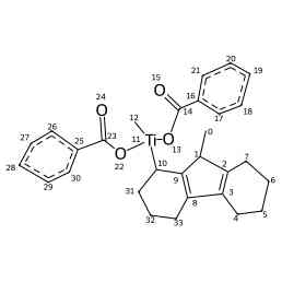 CC1C2=C(CCCC2)C2=C1[CH]([Ti]([CH3])([O]C(=O)c1ccccc1)[O]C(=O)c1ccccc1)CCC2